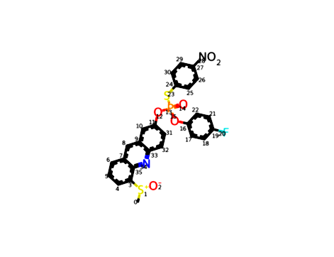 C[S+]([O-])c1cccc2cc3cc(OP(=O)(Oc4ccc(F)cc4)Sc4ccc([N+](=O)[O-])cc4)ccc3nc12